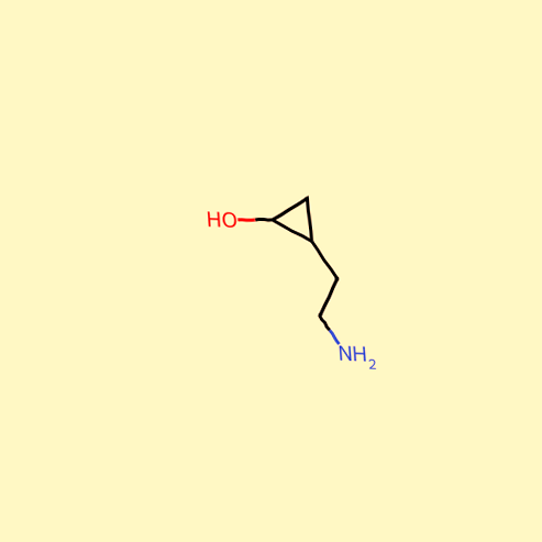 NCCC1CC1O